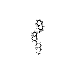 C=C(/C=C\C(=C/N)c1ccc2ncc(Cc3ccc4ncccc4c3)n2n1)OC